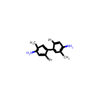 Cc1cc(-c2cc(C)c(N)cc2C(C)C)c(C(C)C)cc1N